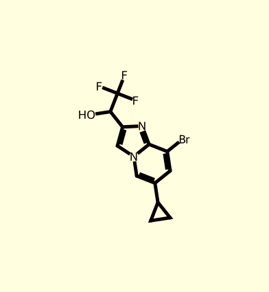 OC(c1cn2cc(C3CC3)cc(Br)c2n1)C(F)(F)F